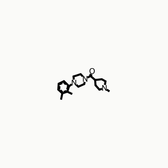 Cc1cccc(N2CCN(C(=O)C3CCN(C)CC3)CC2)c1C